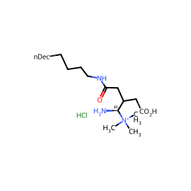 CCCCCCCCCCCCCCNC(=O)CC(CC(=O)O)[C@H](N)[N+](C)(C)C.Cl